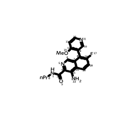 CCCNC(=O)c1ncc2c(-c3cnccc3OC)c(F)ccc2c1N